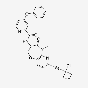 CN1C(=O)C(NC(=O)c2cc(Oc3ccccc3)ccn2)COc2ccc(C#CC3(O)COC3)nc21